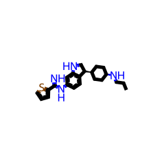 CCCN[C@H]1CC[C@@H](C2CNc3cc(NC(=N)c4cccs4)ccc32)CC1